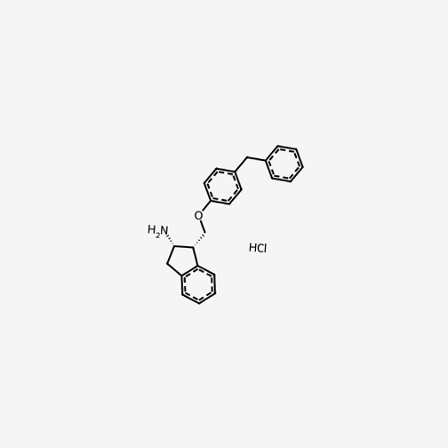 Cl.N[C@H]1Cc2ccccc2[C@H]1COc1ccc(Cc2ccccc2)cc1